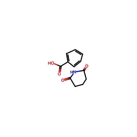 O=C(O)c1ccccc1.O=C1CCCC(=O)N1